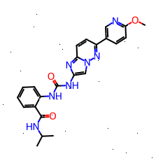 COc1ccc(-c2ccc3nc(NC(=O)Nc4ccccc4C(=O)NC(C)C)cn3n2)cn1